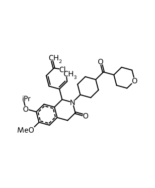 C=C(Cl)/C=C\C(=C/C)C1c2cc(OC(C)C)c(OC)cc2CC(=O)N1C1CCC(C(=O)C2CCOCC2)CC1